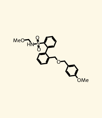 COCNS(=O)(=O)c1ccccc1-c1ccccc1COCc1ccc(OC)cc1